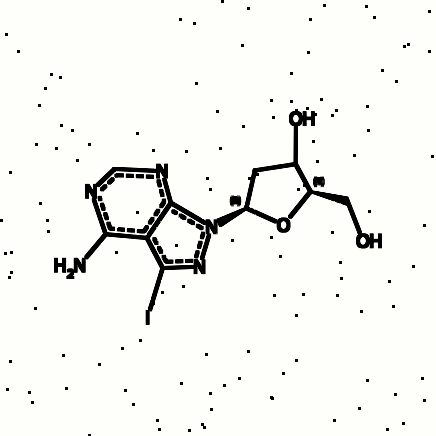 Nc1ncnc2c1c(I)nn2[C@H]1CC(O)[C@@H](CO)O1